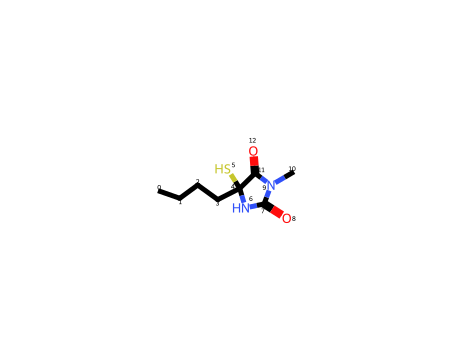 CCCCC1(S)NC(=O)N(C)C1=O